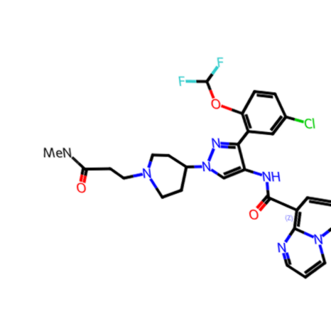 C=C/C(C(=O)Nc1cn(C2CCN(CCC(=O)NC)CC2)nc1-c1cc(Cl)ccc1OC(F)F)=C1/N=CC=CN1C